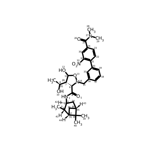 C[C@@H]1[C@@H](NC(=O)C2[C@H]([C@H](C)O)C(O)ON2Cc2cccc(-c3ccc(C(=O)N(C)C)cc3[N+](=O)[O-])c2)C[C@H]2C[C@@H]1C2(C)C